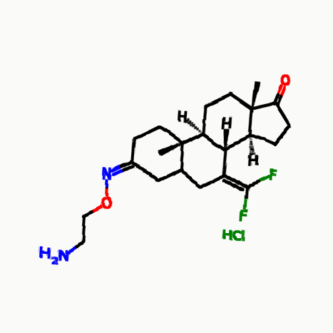 C[C@]12CC/C(=N/OCCN)CC1CC(=C(F)F)[C@@H]1[C@@H]2CC[C@]2(C)C(=O)CC[C@@H]12.Cl